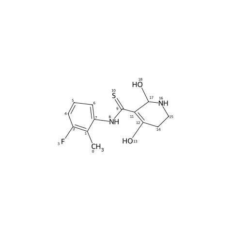 Cc1c(F)cccc1NC(=S)C1=C(O)CCNC1O